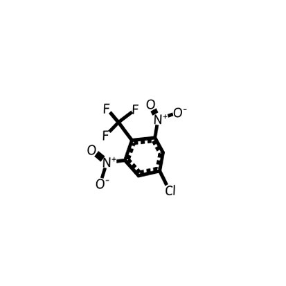 O=[N+]([O-])c1cc(Cl)cc([N+](=O)[O-])c1C(F)(F)F